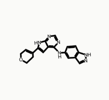 C1=C(c2cc3c(Nc4ccc5[nH]ncc5c4)ncnc3[nH]2)CCOC1